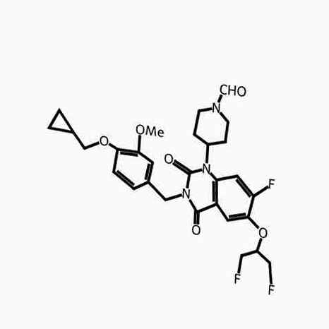 COc1cc(Cn2c(=O)c3cc(OC(CF)CF)c(F)cc3n(C3CCN(C=O)CC3)c2=O)ccc1OCC1CC1